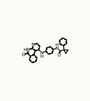 O=C(Nc1ccc(Nc2ccnc3[nH]c(=O)c4ccccc4c23)cc1)C1(c2ccccc2)CC1